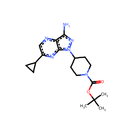 CC(C)(C)OC(=O)N1CCC(n2nc(N)c3ncc(C4CC4)nc32)CC1